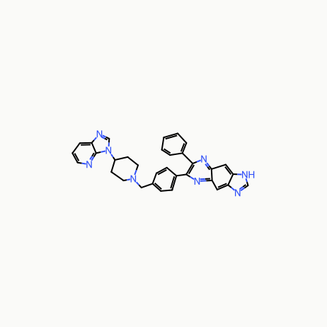 c1ccc(-c2nc3cc4[nH]cnc4cc3nc2-c2ccc(CN3CCC(n4cnc5cccnc54)CC3)cc2)cc1